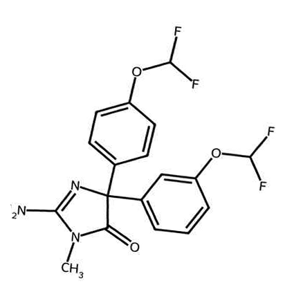 CN1C(=O)C(c2ccc(OC(F)F)cc2)(c2cccc(OC(F)F)c2)N=C1N